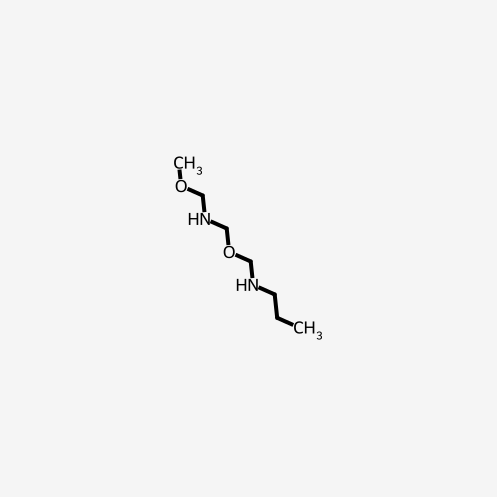 CCCNCOCNCOC